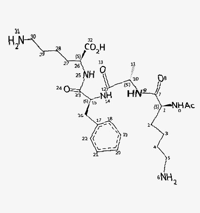 CC(=O)N[C@@H](CCCCN)C(=O)N[C@@H](C)C(=O)N[C@@H](Cc1ccccc1)C(=O)N[C@@H](CCCCN)C(=O)O